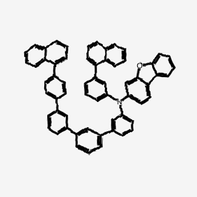 c1cc(-c2ccc(-c3cccc4ccccc34)cc2)cc(-c2cccc(-c3cccc(N(c4cccc(-c5cccc6ccccc56)c4)c4ccc5c(c4)oc4ccccc45)c3)c2)c1